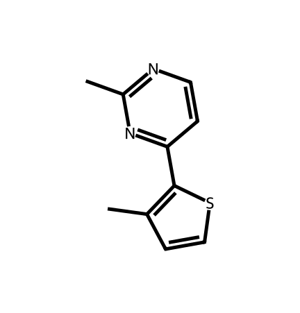 Cc1nccc(-c2sccc2C)n1